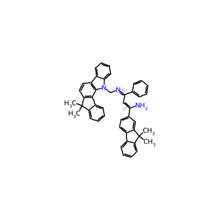 CC1(C)c2ccccc2-c2ccc(/C(N)=C/C(=N\Cn3c4ccccc4c4ccc5c(c43)-c3ccccc3C5(C)C)c3ccccc3)cc21